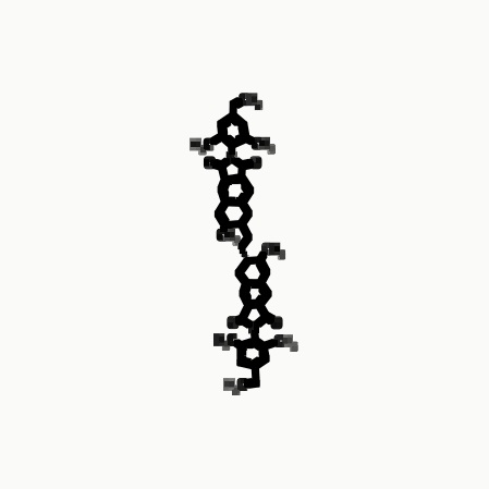 C=Cc1cc(C)c(N2C(=O)c3cc4c(cc3C2=O)CC(CC[C@H]2Cc3cc5c(cc3C=C2C)C(=O)N(c2c(C)cc(C=C)cc2C)C5=O)C(C)=C4)c(C)c1